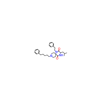 CC(C)CC1NC(=O)C2(CCN(CCCCCc3ccccc3)CC2)N(CCc2ccccc2)C1=O